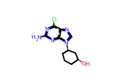 Nc1nc(Cl)c2ncn([C@@H]3CCC[C@H](O)C3)c2n1